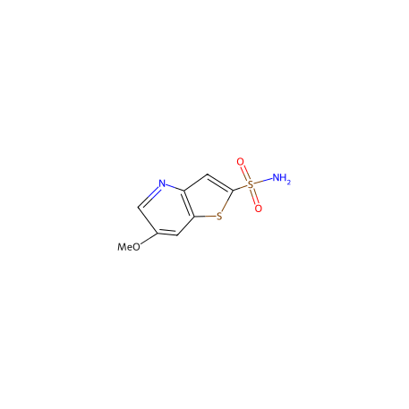 COc1cnc2cc(S(N)(=O)=O)sc2c1